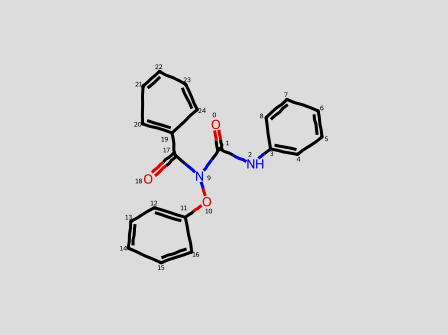 O=C(Nc1ccccc1)N(Oc1ccccc1)C(=O)c1ccccc1